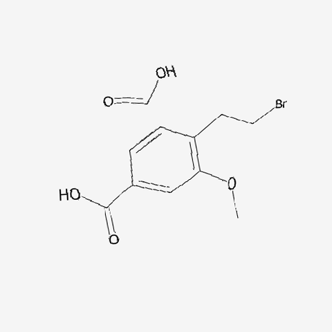 COc1cc(C(=O)O)ccc1CCBr.O=CO